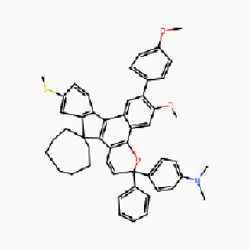 COc1ccc(-c2cc3c4c(c5c(c3cc2OC)OC(c2ccccc2)(c2ccc(N(C)C)cc2)C=C5)C2(CCCCCCC2)c2cc(SC)ccc2-4)cc1